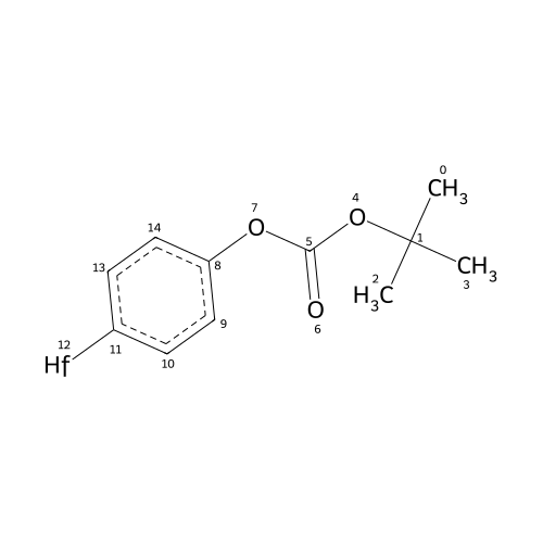 CC(C)(C)OC(=O)Oc1cc[c]([Hf])cc1